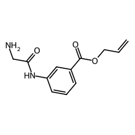 C=CCOC(=O)c1cccc(NC(=O)CN)c1